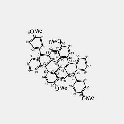 COc1ccc(-c2c3ccccc3c(-c3ccc(OC)cc3)c3c(-c4cccc5c(-c6ccc(OC)cc6)c6ccccc6c(-c6ccc(OC)cc6)c45)cccc23)cc1